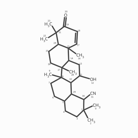 CC1(C)CCC2CCC3(C)C(C(O)CC4C5(C)C=CC(=O)C(C)(C)C5CCC43C)C2C1C#N